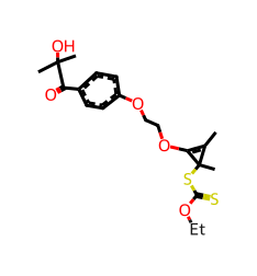 CCOC(=S)SC1(C)C(C)=C1OCCOc1ccc(C(=O)C(C)(C)O)cc1